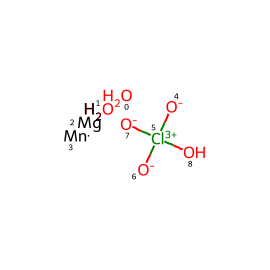 O.O.[MgH2].[Mn].[O-][Cl+3]([O-])([O-])O